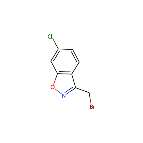 Clc1ccc2c(CBr)noc2c1